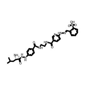 CC(C)C[C@H](N)C(=O)NNc1ccc(C(=O)NCCNC(=O)c2ccc(N/N=C/c3ccccc3S(=O)(=O)O)nc2)cc1